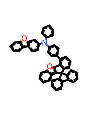 c1ccc(N(c2ccc(-c3cccc4c3-c3oc5ccccc5c3C43c4ccccc4-c4ccccc43)cc2)c2ccc3c(c2)oc2ccccc23)cc1